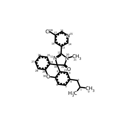 CC(C)Cc1ccc2c(c1)C1(N=C(c3cncc(Cl)c3)N(C)C1=O)c1ccccc1O2